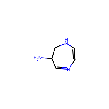 NC1C=NC=CNC1